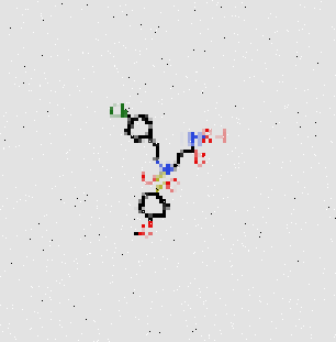 COc1ccc(S(=O)(=O)N(CCC(=O)NO)CCc2ccc(Cl)cc2)cc1